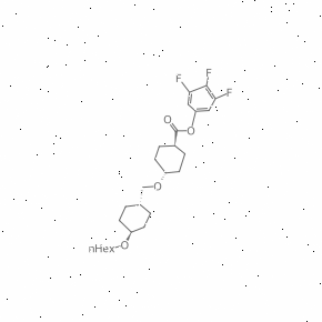 CCCCCCO[C@H]1CC[C@H](CO[C@H]2CC[C@H](C(=O)Oc3cc(F)c(F)c(F)c3)CC2)CC1